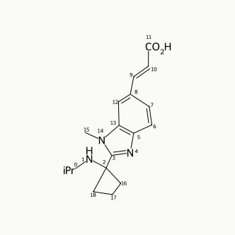 CC(C)NC1(c2nc3ccc(/C=C/C(=O)O)cc3n2C)CCC1